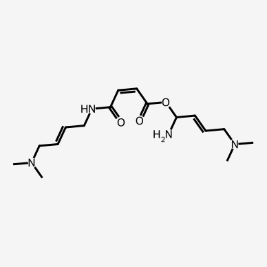 CN(C)CC=CCNC(=O)/C=C\C(=O)OC(N)C=CCN(C)C